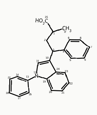 CC(CC(c1ccccc1)c1cn(-c2ccccc2)c2ccccc12)C(=O)O